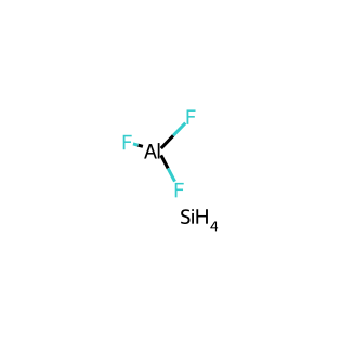 [F][Al]([F])[F].[SiH4]